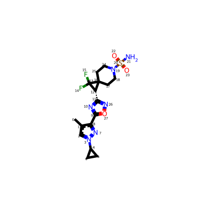 Cc1cn(C2CC2)nc1-c1nc([C@@H]2C(F)(F)C23CCN(S(N)(=O)=O)CC3)no1